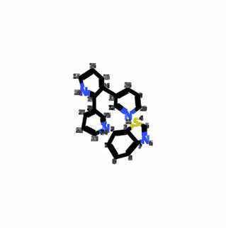 c1ccc2scnc2c1.c1cncc(-c2cccnc2-c2cccnc2)c1